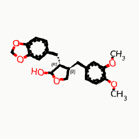 COc1ccc(C[C@H]2COC(O)[C@@H]2Cc2ccc3c(c2)OCO3)cc1OC